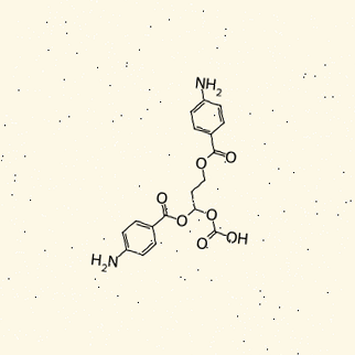 Nc1ccc(C(=O)OCCC(OC(=O)O)OC(=O)c2ccc(N)cc2)cc1